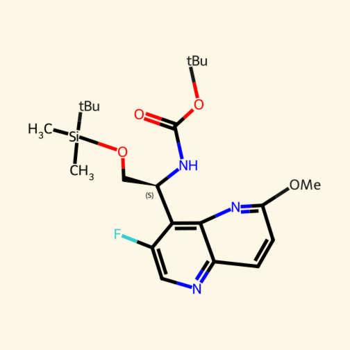 COc1ccc2ncc(F)c([C@@H](CO[Si](C)(C)C(C)(C)C)NC(=O)OC(C)(C)C)c2n1